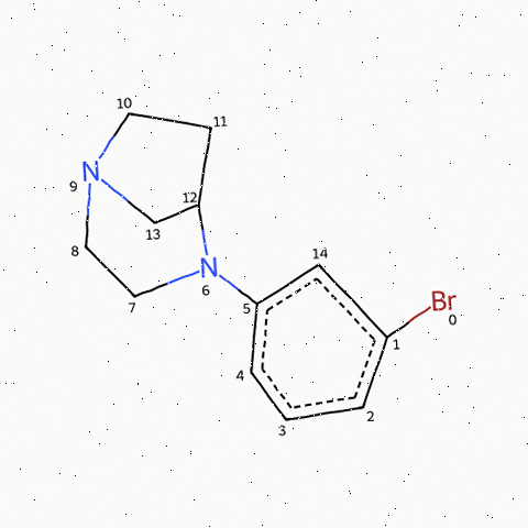 Brc1cccc(N2CCN3CCC2C3)c1